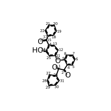 O=C(C(=O)c1ccccc1Oc1ccc(C(=O)c2ccccc2)c(O)c1)c1ccccc1